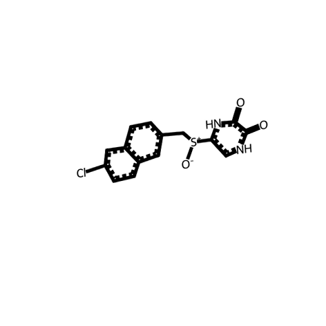 O=c1[nH]cc([S+]([O-])Cc2ccc3cc(Cl)ccc3c2)[nH]c1=O